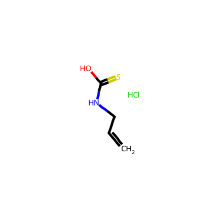 C=CCNC(O)=S.Cl